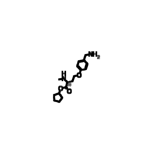 CN[C@@H](CCOc1ccc(CN)cc1)C(=O)OC1CCCC1